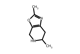 Cc1nc2c(o1)CNC(C)C2